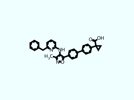 Cc1noc(-c2ccc(-c3ccc(C4(C(=O)O)CC4)cc3)cc2)c1Nc1cccc(Cc2ccccc2)n1